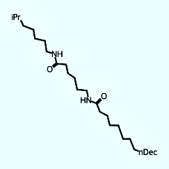 CCCCCCCCCCCCCCCCCC(=O)NCCCCCC(=O)NCCCCCC(C)C